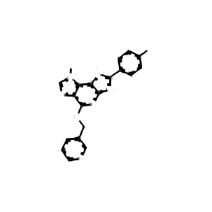 Cn1cnc2c(NCc3cccnc3)nc3sc(-c4ccc(F)cc4)nc3c21